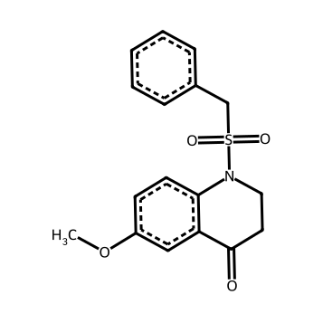 COc1ccc2c(c1)C(=O)CCN2S(=O)(=O)Cc1ccccc1